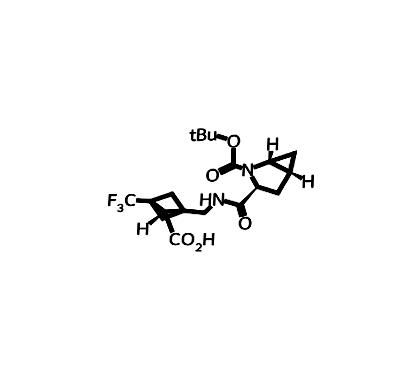 CC(C)(C)OC(=O)N1[C@@H]2C[C@@H]2C[C@H]1C(=O)NCC12CC(C(F)(F)F)(C1)[C@H]2C(=O)O